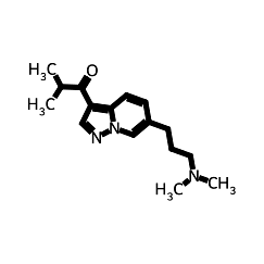 CC(C)C(=O)c1cnn2cc(CCCN(C)C)ccc12